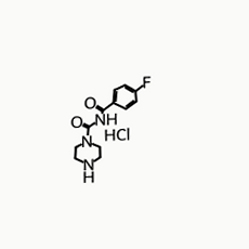 Cl.O=C(NC(=O)N1CCNCC1)c1ccc(F)cc1